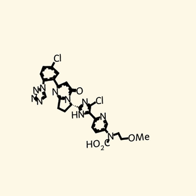 COCCN(C(=O)O)c1ccc(-c2[nH]c([C@@H]3CCc4nc(-c5cc(Cl)ccc5-n5cnnn5)cc(=O)n43)nc2Cl)nc1